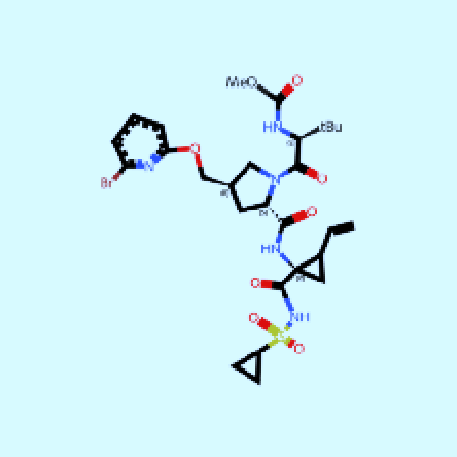 C=CC1C[C@]1(NC(=O)[C@@H]1C[C@@H](COc2cccc(Br)n2)CN1C(=O)[C@@H](NC(=O)OC)C(C)(C)C)C(=O)NS(=O)(=O)C1CC1